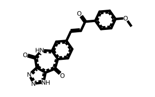 COc1ccc(C(=O)C=Cc2ccc3c(=O)c4[nH]nnc4c(=O)[nH]c3c2)cc1